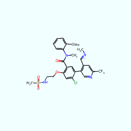 C/N=C/c1cc(C(F)(F)F)ncc1-c1cc(C(=O)N(C)c2ccccc2OC)c(OCCNS(C)(=O)=O)cc1Cl